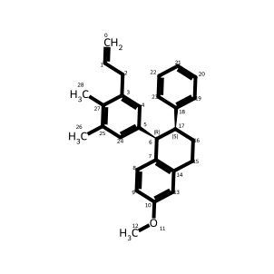 C=CCc1cc([C@@H]2c3ccc(OC)cc3CC[C@@H]2c2ccccc2)cc(C)c1C